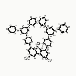 Cn1c2c(-c3ccc(-c4cc(-c5ccccc5)cc(-c5ccccc5)c4)cc3)cc(C(C)(C)C)cc2c2cc(C(C)(C)C)cc(-c3ccc(-c4cc(-c5ccccc5)cc(-c5ccccc5)c4)cc3)c21